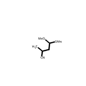 COC(CC(C)C#N)OC